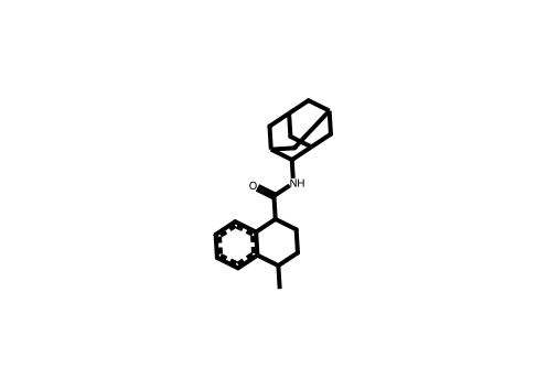 CC1CCC(C(=O)NC2C3CC4CC(C3)CC2C4)c2ccccc21